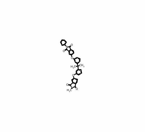 CN1C(=O)c2ccc(Oc3cccc(C(C)(C)c4cccc(Oc5ccc6c(c5)C(=O)N(c5ccccc5)C6=O)c4)c3)cc2C1=O